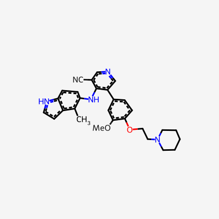 COc1cc(-c2cncc(C#N)c2Nc2ccc3[nH]ccc3c2C)ccc1OCCN1CCCCC1